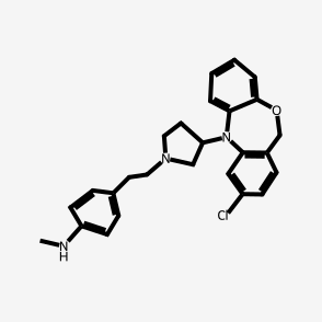 CNc1ccc(CCN2CCC(N3c4cc(Cl)ccc4COc4ccccc43)C2)cc1